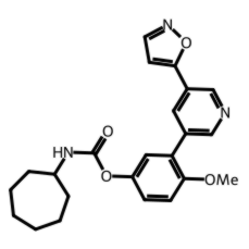 COc1ccc(OC(=O)NC2CCCCCC2)cc1-c1cncc(-c2ccno2)c1